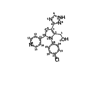 OCC1=C(c2nc[nH]n2)SC(c2ccncc2)N1c1ccc(Cl)cc1